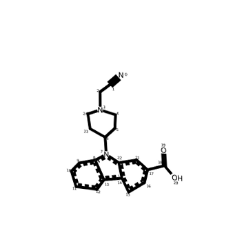 N#CCN1CCC(n2c3ccccc3c3ccc(C(=O)O)cc32)CC1